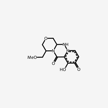 COCC1COCC2Nn3ccc(=O)c(O)c3C(=O)N12